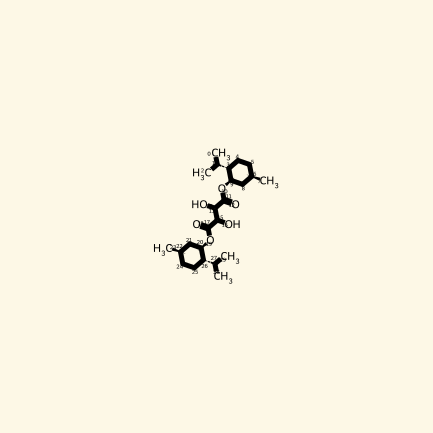 CC(C)[C@@H]1CC[C@@H](C)C[C@H]1OC(=O)C(O)C(O)C(=O)O[C@@H]1C[C@H](C)CC[C@H]1C(C)C